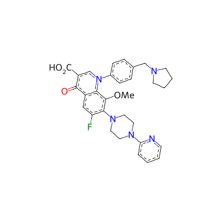 COc1c(N2CCN(c3ccccn3)CC2)c(F)cc2c(=O)c(C(=O)O)cn(-c3ccc(CN4CCCC4)cc3)c12